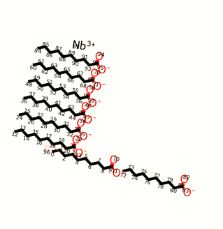 CCCCCCCCCC(=O)[O-].CCCCCCCCCC(=O)[O-].CCCCCCCCCC(=O)[O-].CCCCCCCCCC(=O)[O-].CCCCCCCCCC(=O)[O-].CCCCCCCCCC(=O)[O-].CCCCCCCCCC(=O)[O-].CCCCCCCCCC(=O)[O-].[B+3].[Nb+3]